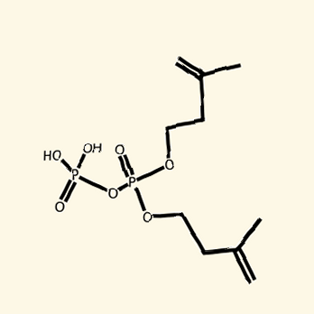 C=C(C)CCOP(=O)(OCCC(=C)C)OP(=O)(O)O